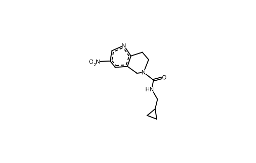 O=C(NCC1CC1)N1CCc2ncc([N+](=O)[O-])cc2C1